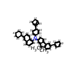 CC1(C)c2ccc(-c3ccccc3)cc2-c2ccc(N(c3ccc(C4CC5CCC4C5)cc3)c3cccc4cc(C5CCCCC5)ccc34)cc21